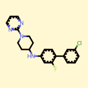 Fc1cc(NC2CCN(c3ncccn3)CC2)ccc1-c1cccc(Cl)c1